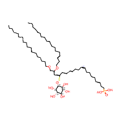 CCCCCCCCCCCCCCCCCCOCC(CC(CCCCCC/C=C\CCCCCCCCP(=O)(O)O)SO[C@@H]1[C@@H](O)[C@H](O)[C@@H](O)[C@H](O)[C@@H]1O)OCCCCCCCCCCCCCCCCCC